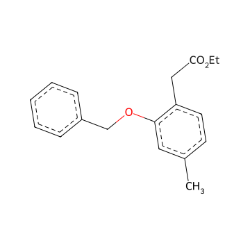 CCOC(=O)Cc1ccc(C)cc1OCc1ccccc1